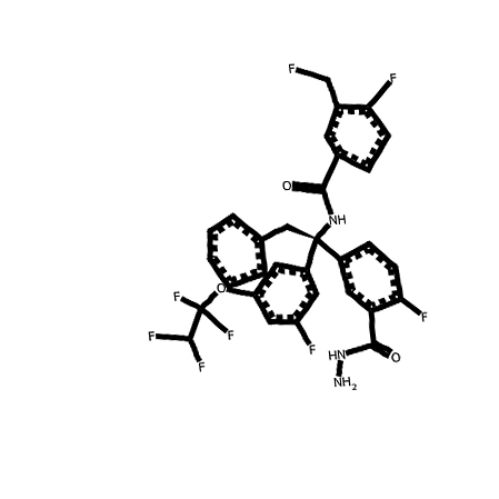 NNC(=O)c1cc([C@@](Cc2ccccc2)(NC(=O)c2ccc(F)c(CF)c2)c2cc(F)cc(OC(F)(F)C(F)F)c2)ccc1F